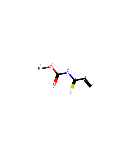 C=CC(=S)NC(=O)OCC